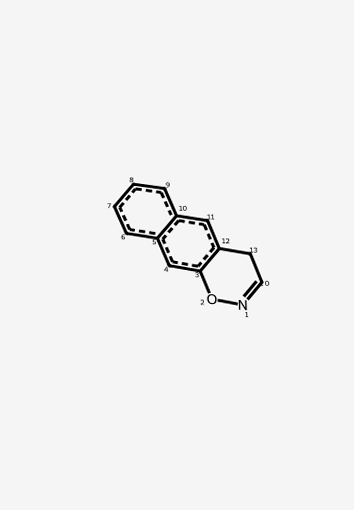 [C]1=NOc2cc3ccccc3cc2C1